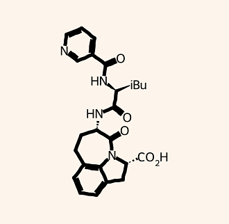 CC[C@H](C)[C@H](NC(=O)c1cccnc1)C(=O)N[C@H]1CCc2cccc3c2N(C1=O)[C@H](C(=O)O)C3